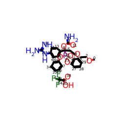 COCCOCCC(OC(N)=O)(c1ccc(NC(=N)N)cc1)P(=O)(Oc1ccccc1)Oc1ccccc1.O=C(O)C(F)(F)F